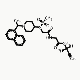 [2H]C([2H])(C#C)NC(=O)CNC(=O)CN(C1CCN(C(C)c2cccc3ccccc23)CC1)S(C)(=O)=O